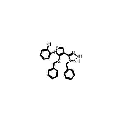 Clc1ccccc1-n1ncc(C2=NNNN2Cc2ccccc2)c1SCc1ccccc1